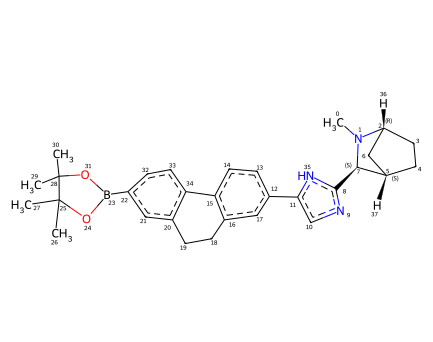 CN1[C@@H]2CC[C@@H](C2)[C@H]1c1ncc(-c2ccc3c(c2)CCc2cc(B4OC(C)(C)C(C)(C)O4)ccc2-3)[nH]1